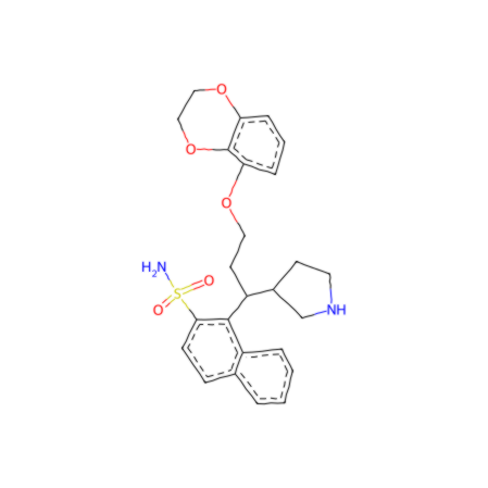 NS(=O)(=O)c1ccc2ccccc2c1C(CCOc1cccc2c1OCCO2)C1CCNC1